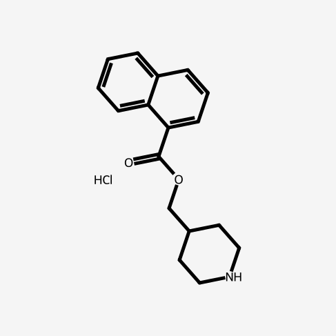 Cl.O=C(OCC1CCNCC1)c1cccc2ccccc12